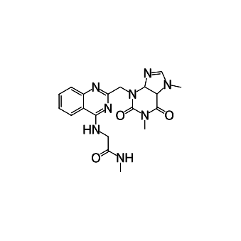 CNC(=O)CNc1nc(CN2C(=O)N(C)C(=O)C3C2N=CN3C)nc2ccccc12